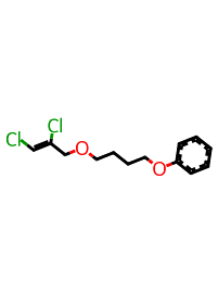 ClC=C(Cl)COCCCCOc1ccccc1